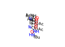 CC(=O)NC(=O)C1=C(OC(C)=O)[C@@H](N(C)C)[C@@H]2C[C@@H]3Cc4c(N(C)C)cc(NC(=O)CNC(C)(C)C)c(OC(C)=O)c4C4(OCCO4)C3=C(OC(C)=O)[C@]2(OC(C)=O)C12OCCO2